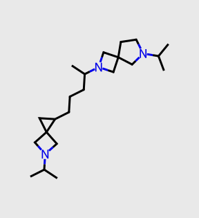 CC(C)N1CCC2(C1)CN(C(C)CCCC1CC13CN(C(C)C)C3)C2